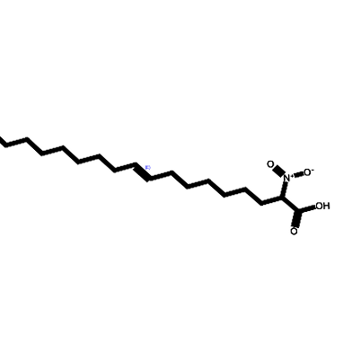 CCCCCCCC/C=C/CCCCCCC(C(=O)O)[N+](=O)[O-]